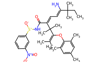 CCC(C)(C)/C(N)=C/C=C(/C(=O)N[S+]([O-])c1cccc([N+](=O)[O-])c1)C(C)(C)C(Oc1c(C)cc(C)cc1C)=C(C)C